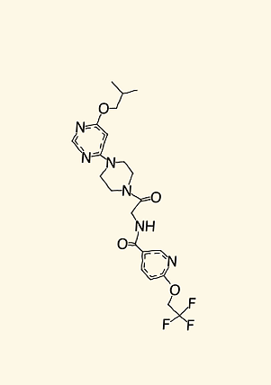 CC(C)COc1cc(N2CCN(C(=O)CNC(=O)c3ccc(OCC(F)(F)F)nc3)CC2)ncn1